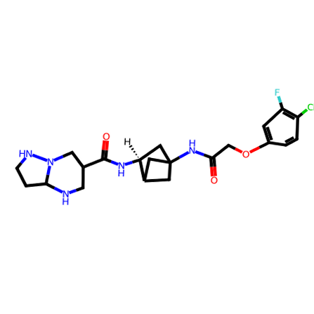 O=C(COc1ccc(Cl)c(F)c1)NC12CC(C1)[C@@H](NC(=O)C1CNC3CCNN3C1)C2